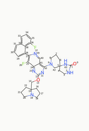 O=C1NCCC2(CCCN(c3nc(OCC45CCCN4CCC5)nc4c(F)c(-c5cccc6cccc(F)c56)ncc34)C2)N1